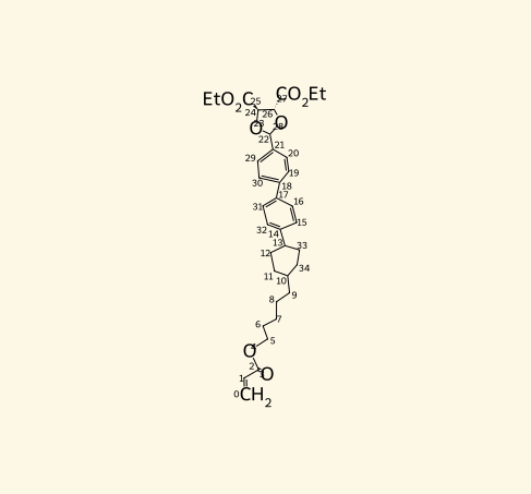 C=CC(=O)OCCCCCC1CCC(c2ccc(-c3ccc(C4O[C@@H](C(=O)OCC)[C@H](C(=O)OCC)O4)cc3)cc2)CC1